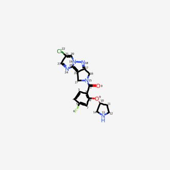 O=C(c1ccc(F)cc1O[C@@H]1CCNC1)N1Cc2nn3cc(Cl)cnc3c2C1